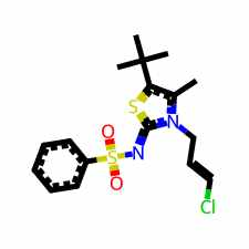 Cc1c(C(C)(C)C)s/c(=N\S(=O)(=O)c2ccccc2)n1C/C=C/Cl